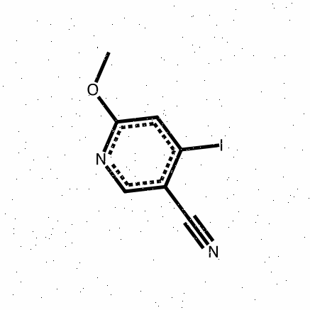 COc1cc(I)c(C#N)cn1